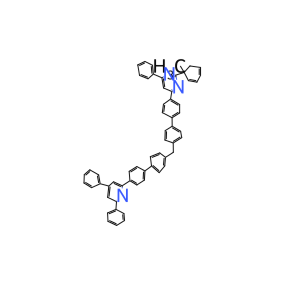 CC1(c2nc(-c3ccccc3)cc(-c3ccc(-c4ccc(Cc5ccc(-c6ccc(-c7cc(-c8ccccc8)cc(-c8ccccc8)n7)cc6)cc5)cc4)cc3)n2)C=CC=CC1